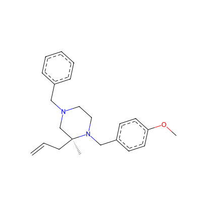 C=CC[C@@]1(C)CN(Cc2ccccc2)CCN1Cc1ccc(OC)cc1